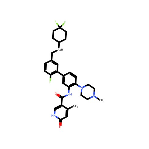 CN1CCN(c2ccc(-c3cc(C[AsH]C4CCC(F)(F)CC4)ccc3F)cc2NC(=O)c2c[nH]c(=O)cc2C(F)(F)F)CC1